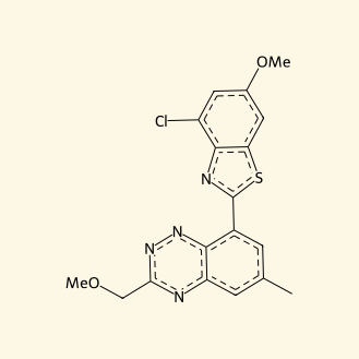 COCc1nnc2c(-c3nc4c(Cl)cc(OC)cc4s3)cc(C)cc2n1